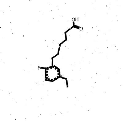 CCc1ccc(F)c(CCCCCC(=O)O)c1